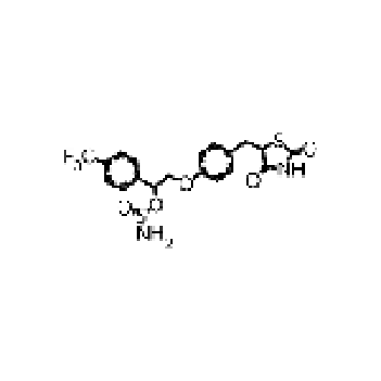 NS(=O)OC(COc1ccc(CC2SC(=O)NC2=O)cc1)c1ccc(C(F)(F)F)cc1